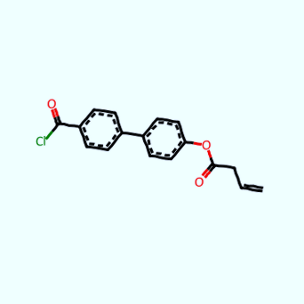 C=CCC(=O)Oc1ccc(-c2ccc(C(=O)Cl)cc2)cc1